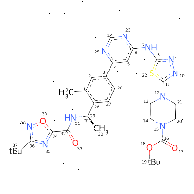 Cc1cc(-c2cc(Nc3nnc(N4CCN(C(=O)OC(C)(C)C)CC4)s3)ncn2)ccc1[C@@H](C)NC(=O)c1nc(C(C)(C)C)no1